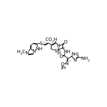 CC(C)O/N=C(\C(=O)N[C@@H]1C(=O)N2C(C(=O)O)=C(/C=C/SC3=CC=C4N(C)C=CN4N3)CS[C@@H]12)c1nsc(N)n1